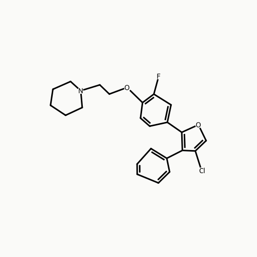 Fc1cc(-c2occ(Cl)c2-c2ccccc2)ccc1OCCN1CCCCC1